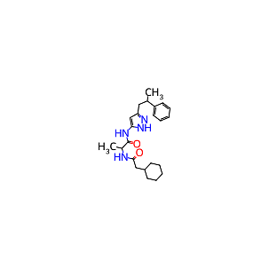 CC(NC(=O)CC1CCCCC1)C(=O)Nc1cc(CC(C)c2ccccc2)n[nH]1